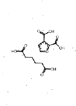 O=C(O)CCCCC(=O)O.O=C(O)c1ccoc1C(=O)O